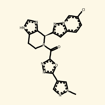 Cn1cc(-c2nnc(C(=O)N3CCc4[nH]cnc4[C@H]3c3cc4ccc(Cl)cn4n3)o2)cn1